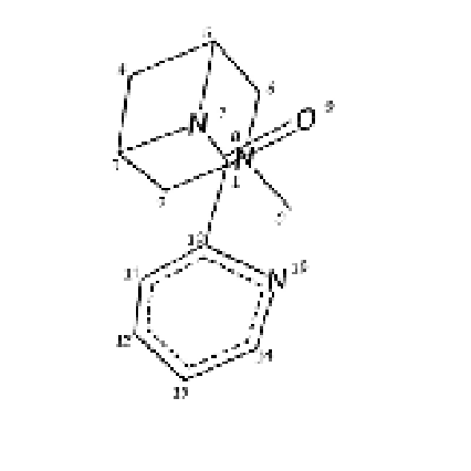 CN1CC2CC(C1)N2C(=O)c1ccccn1